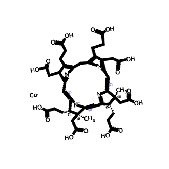 C[C@@]1(CC(=O)O)/C2=C/c3[n-]c(c(CCC(=O)O)c3CC(=O)O)CC3=C(CCC(=O)O)C(CC(=O)O)C(=N3)/C=C3\[N-]/C(=C\C(=N2)[C@H]1CCC(=O)O)[C@@](C)(CC(=O)O)[C@@H]3CCC(=O)O.[Co]